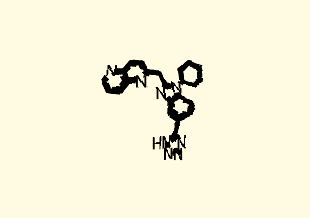 c1cnc2ccc(Cc3nc4cc(-c5nnn[nH]5)ccc4n3C3CCCCC3)nc2c1